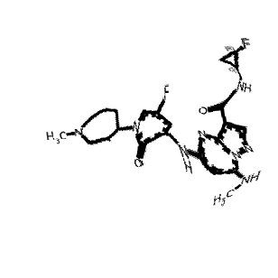 CNc1cc(Nc2cc(F)cn(C3CCN(C)CC3)c2=O)nc2c(C(=O)N[C@H]3C[C@H]3F)cnn12